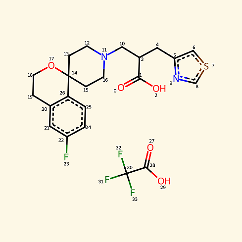 O=C(O)C(Cc1cscn1)CN1CCC2(CC1)OCCc1cc(F)ccc12.O=C(O)C(F)(F)F